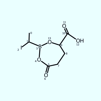 CC(I)B1OC(=O)CCC(C(=O)O)O1